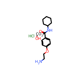 Cl.NCCOc1ccc(C(=O)NC2CCCCC2)cc1.O=C(O)O